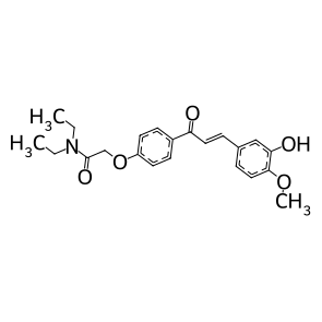 CCN(CC)C(=O)COc1ccc(C(=O)/C=C/c2ccc(OC)c(O)c2)cc1